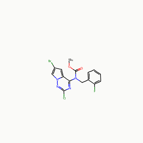 CC(C)(C)OC(=O)N(Cc1ccccc1F)c1nc(Cl)nn2cc(Br)cc12